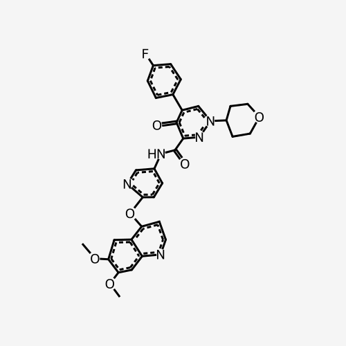 COc1cc2nccc(Oc3ccc(NC(=O)c4nn(C5CCOCC5)cc(-c5ccc(F)cc5)c4=O)cn3)c2cc1OC